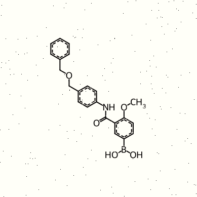 COc1ccc(B(O)O)cc1C(=O)Nc1ccc(COCc2ccccc2)cc1